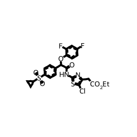 CCOC(=O)Cc1nc(NC(=O)C(Oc2ccc(F)cc2F)c2ccc(S(=O)(=O)C3CC3)cc2)sc1Cl